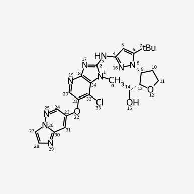 Cn1c(Nc2cc(C(C)(C)C)n([C@@H]3CCO[C@@H]3CO)n2)nc2ncc(Oc3cnn4ccnc4c3)c(Cl)c21